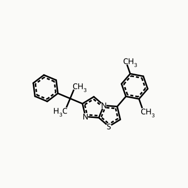 Cc1ccc(C)c(-c2csc3nc(C(C)(C)c4ccccc4)cn23)c1